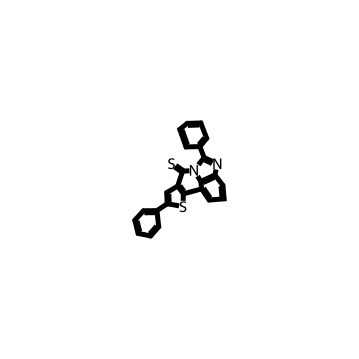 S=c1c2cc(-c3ccccc3)sc2c2cccc3nc(-c4ccccc4)n1c32